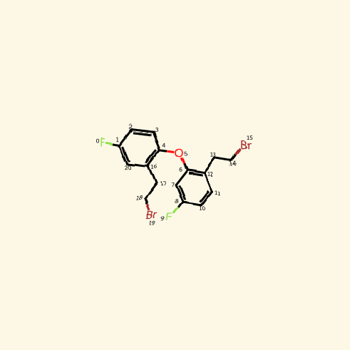 Fc1ccc(Oc2cc(F)ccc2CCBr)c(CCBr)c1